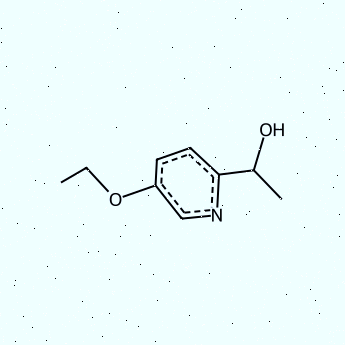 CCOc1ccc(C(C)O)nc1